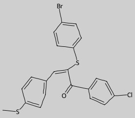 CSc1ccc(/C=C(/Sc2ccc(Br)cc2)C(=O)c2ccc(Cl)cc2)cc1